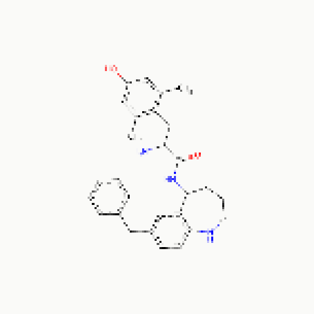 Cc1cc(O)cc(C)c1CC(N)C(=O)NC1CCCNc2ccc(Cc3ccccc3)cc21